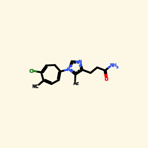 CC(=O)c1c(CCC(N)=O)ncn1C1=CC=C(C#N)C(Cl)=CC1